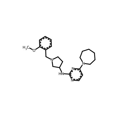 COc1ccccc1CN1CCC(Nc2nccc(N3CCCCCC3)n2)C1